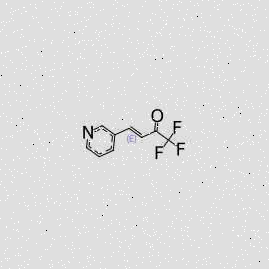 O=C(/C=C/c1cccnc1)C(F)(F)F